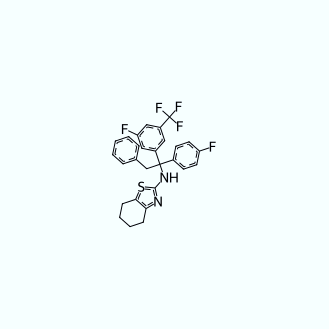 Fc1ccc(C(Cc2ccccc2)(Nc2nc3c(s2)CCCC3)c2cc(F)cc(C(F)(F)F)c2)cc1